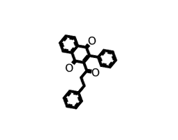 O=C(CCc1ccccc1)C1=C(c2ccccc2)C(=O)c2ccccc2C1=O